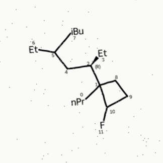 CCCC1([C@H](CC)CC(CC)C(C)CC)CCC1F